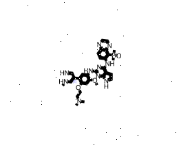 CN/C=C(\C=N)c1cc(Nc2nc(Nc3ccc4nccnc4c3P(C)(C)=O)c3cc[nH]c3n2)c(OC)cc1OCCN(C)C